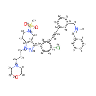 CN(Cc1ccccc1)Cc1cccc(C#Cc2cc(-c3nn(CCCN4CCOCC4)c4c3CN(S(C)(=O)=O)CC4)ccc2Cl)c1